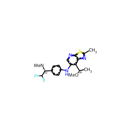 CN[C@@H](c1ccc(Nc2cnc3sc(C)nc3c2[C@@H](C)OC)cc1)C(F)F